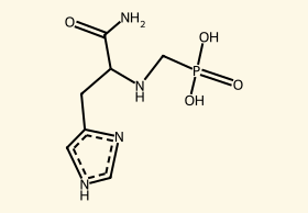 NC(=O)C(Cc1c[nH]cn1)NCP(=O)(O)O